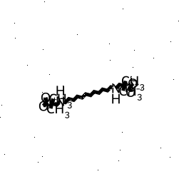 CC(C)(CNCCCCCCCCCCCCNCC(C)(C)[N+](=O)[O-])[N+](=O)[O-]